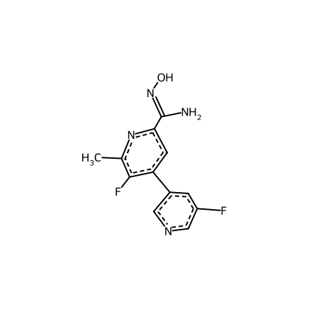 Cc1nc(/C(N)=N/O)cc(-c2cncc(F)c2)c1F